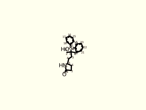 CC(C)(CCC1CCC(=O)N1)[Si](O)(c1ccccc1)c1ccccc1